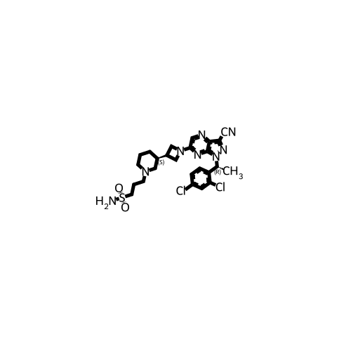 C[C@H](c1ccc(Cl)cc1Cl)n1nc(C#N)c2ncc(N3CC([C@@H]4CCCN(CCCS(N)(=O)=O)C4)C3)nc21